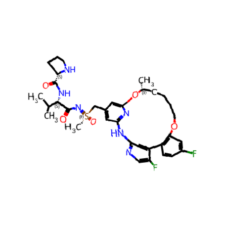 CC(C)[C@H](NC(=O)[C@@H]1CCCN1)C(=O)N=[S@](C)(=O)Cc1cc2nc(c1)O[C@H](C)CCCCOc1cc(F)ccc1-c1cc(ncc1F)N2